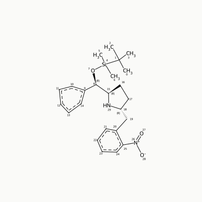 CC(C)(C)[Si](C)(C)O[C@H](c1ccccc1)[C@H]1CC[C@H](Cc2ccccc2[N+](=O)[O-])N1